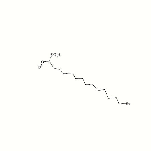 CCOC(CCCCCCCCCCCCCC(C)C)C(=O)O